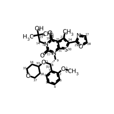 COc1ccccc1[C@@H](Cn1c(=O)n(CC(C)(C)O)c(=O)c2c(C)c(-c3ncco3)sc21)OC1CCOCC1